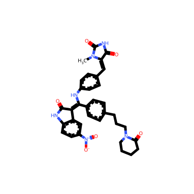 CN1C(=O)NC(=O)/C1=C/c1ccc(N/C(=C2\C(=O)Nc3ccc([N+](=O)[O-])cc32)c2ccc(CCCN3CCCCC3=O)cc2)cc1